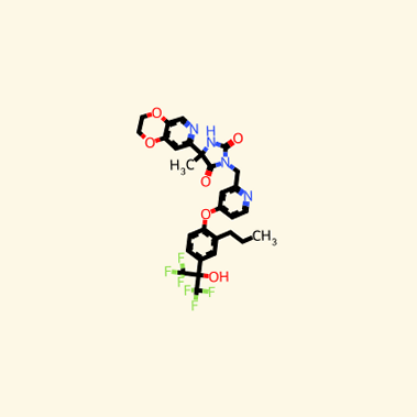 CCCc1cc(C(O)(C(F)(F)F)C(F)(F)F)ccc1Oc1ccnc(CN2C(=O)NC(C)(c3cc4c(cn3)OCCO4)C2=O)c1